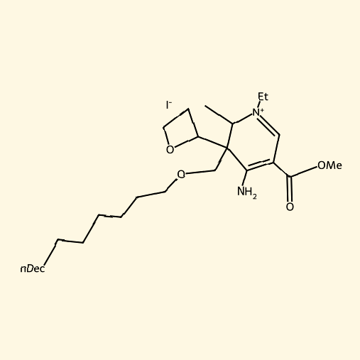 CCCCCCCCCCCCCCCCOCC1(C2CCO2)C(N)=C(C(=O)OC)C=[N+](CC)C1C.[I-]